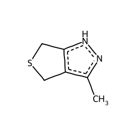 Cc1n[nH]c2c1CSC2